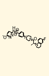 COc1ccc(NS(=O)(=O)c2ccc(N3CCN(C(=O)[C@H](C)N4CCCc5cc(F)ccc54)CC3)cc2)nn1